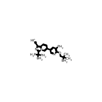 BC(C)(C)COc1ncc(-c2ccc3c(C#C)nc(C(B)(P)P)n3c2)cc1P